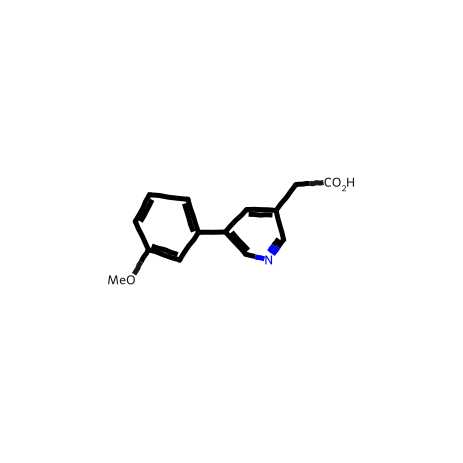 COc1cccc(-c2cncc(CC(=O)O)c2)c1